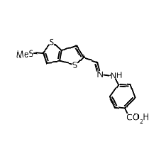 CSc1cc2sc(C=NNc3ccc(C(=O)O)cc3)cc2s1